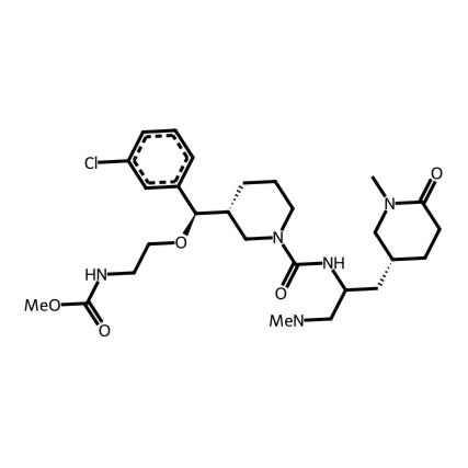 CNCC(C[C@H]1CCC(=O)N(C)C1)NC(=O)N1CCC[C@@H]([C@@H](OCCNC(=O)OC)c2cccc(Cl)c2)C1